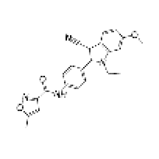 CCN1c2cc(OC)ccc2C(C#N)C1c1ccc(NC(=O)c2cc(C)on2)cc1